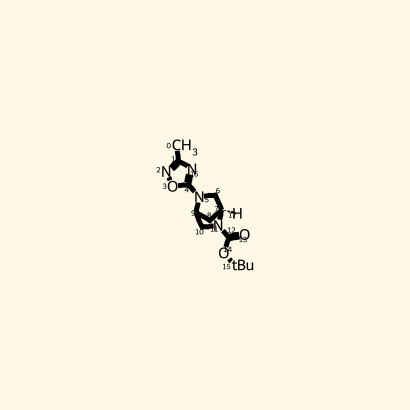 Cc1noc(N2C[C@@H]3CC2CN3C(=O)OC(C)(C)C)n1